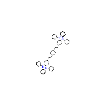 C(=Cc1ccc(C=CC2=CCC(N(c3ccccc3)c3ccccc3)(N(c3ccccc3)c3ccccc3)C=C2)cc1)C1=CCC(N(c2ccccc2)c2ccccc2)(N(c2ccccc2)c2ccccc2)C=C1